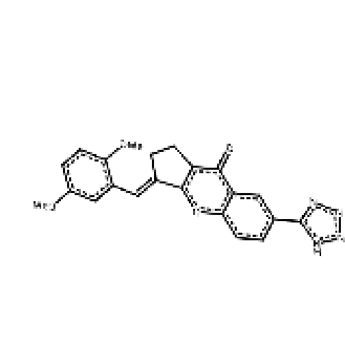 COc1ccc(OC)c(/C=C2\CCc3c2oc2ccc(-c4nnn[nH]4)cc2c3=O)c1